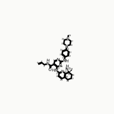 C=CCNC(=O)c1cnc(Nc2ccc(N3CCN(C)CC3)cc2)nc1Nc1ccc2c(n1)[C@](C)(N)CCC2